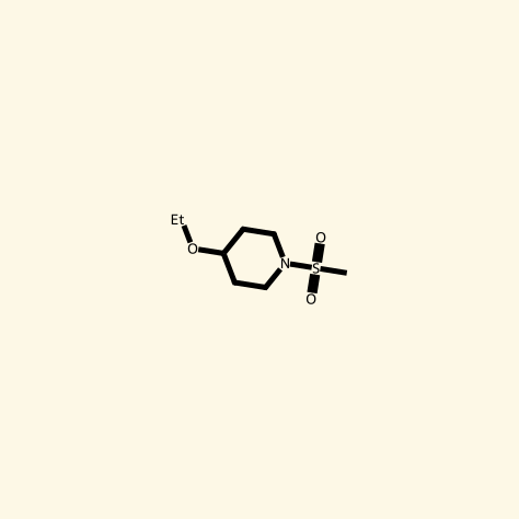 CCOC1CCN(S(C)(=O)=O)CC1